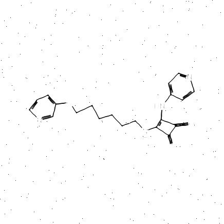 O=c1c(NCCCCCCOc2cccnc2)c(Nc2ccncc2)c1=O